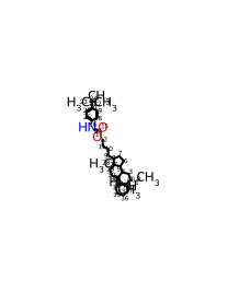 CC[C@H]1CC2C3CCC(CCCCOC(=O)Nc4ccc(C(C)(C)C)cc4)C3(C)CC[C@@H]2[C@@]2(C)CCCC[C@@H]12